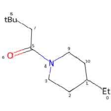 CCC1CCN(C(=O)CC(C)(C)C)CC1